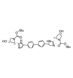 CC(C)(C)OC(=O)N1C[C@@H](O)C[C@H]1C1=NCC(c2ccc(-c3ccc(-c4cnc([C@@H]5C[C@H](O)CN5C(=O)OC(C)(C)C)[nH]4)cc3)cc2)N1